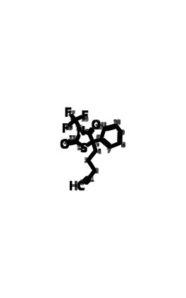 C#CCCCC1(c2ccccc2)SC(=O)N(C(F)(F)F)C1=O